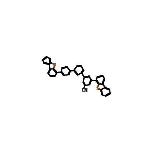 N#Cc1cc(-c2cccc(-c3ccc(-c4cccc5c4sc4ccccc45)cc3)c2)cc(-c2cccc3c2sc2ccccc23)c1